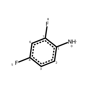 [NH]c1ccc(F)cc1F